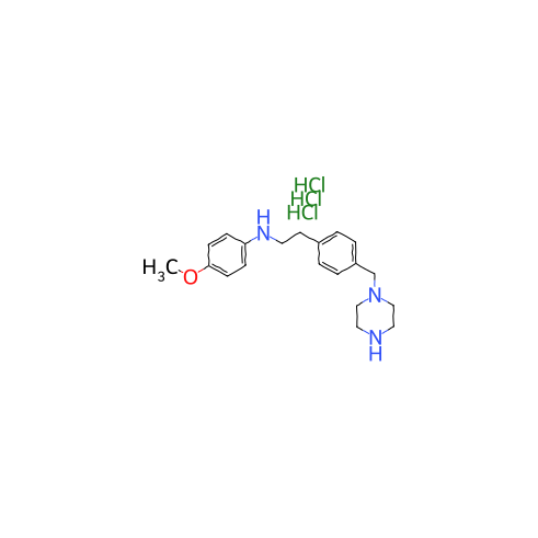 COc1ccc(NCCc2ccc(CN3CCNCC3)cc2)cc1.Cl.Cl.Cl